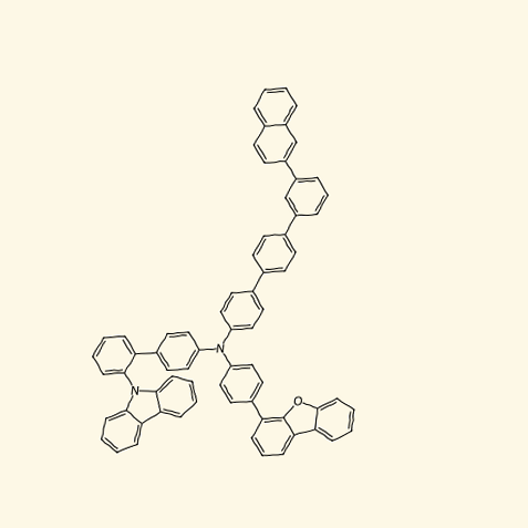 c1cc(-c2ccc(-c3ccc(N(c4ccc(-c5ccccc5-n5c6ccccc6c6ccccc65)cc4)c4ccc(-c5cccc6c5oc5ccccc56)cc4)cc3)cc2)cc(-c2ccc3ccccc3c2)c1